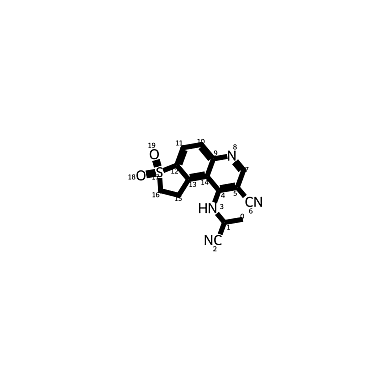 CC(C#N)Nc1c(C#N)cnc2ccc3c(c12)CCS3(=O)=O